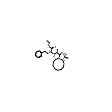 CCOC(=O)[C@H](CCc1ccccc1)NC(C)C(=O)N1CCCCCCCC[C@H]1C(=O)O